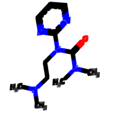 CN(C)CCN(C(=O)N(C)C)c1ncccn1